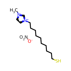 Cn1cc[n+](CCCCCCCCCCS)c1.O=[N+]([O-])[O-]